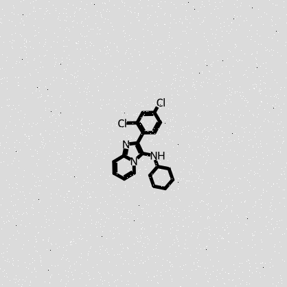 Clc1ccc(-c2nc3ccccn3c2NC2CCCCC2)c(Cl)c1